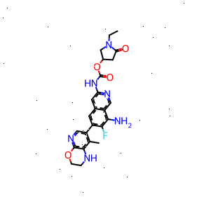 CCN1CC(OC(=O)Nc2cc3cc(-c4cnc5c(c4C)NCCO5)c(F)c(N)c3cn2)CC1=O